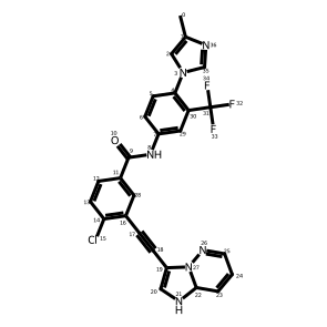 Cc1cn(-c2ccc(NC(=O)c3ccc(Cl)c(C#CC4=CNC5C=CC=NN45)c3)cc2C(F)(F)F)cn1